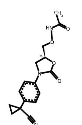 CC(=O)NOC[C@@H]1CN(c2ccc(C3(C#N)CC3)cc2)C(=O)O1